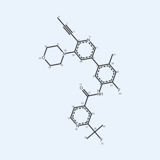 CC#Cc1ncc(-c2cc(NC(=O)c3ccnc(C(C)(C)F)c3)c(F)cc2C)cc1N1CCOCC1